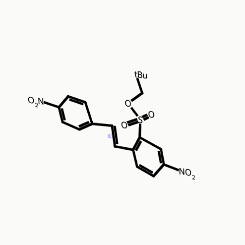 CC(C)(C)COS(=O)(=O)c1cc([N+](=O)[O-])ccc1/C=C/c1ccc([N+](=O)[O-])cc1